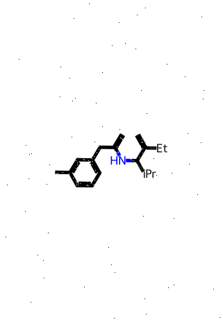 C=C(Cc1cccc(C)c1)NC(C(=C)CC)C(C)C